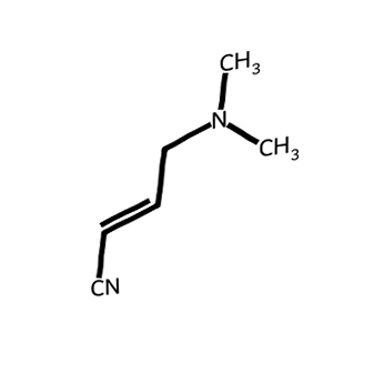 CN(C)CC=CC#N